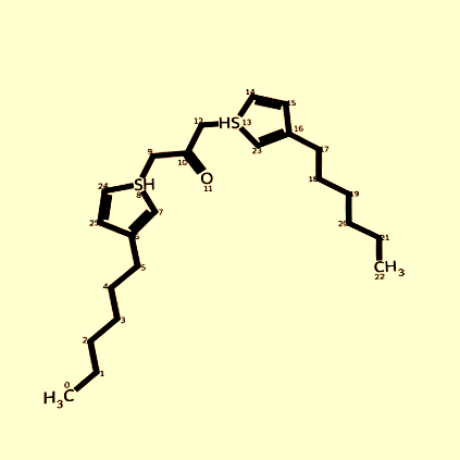 CCCCCCC1=C[SH](CC(=O)C[SH]2C=CC(CCCCCC)=C2)C=C1